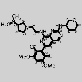 COc1cc(OC)c(Cl)c(-c2cc3cnc(NC4CCCOC4)nc3c(NCCN3CCC(N(C)C)C3)n2)c1Cl